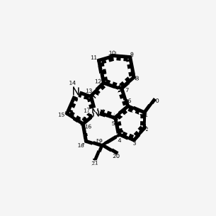 Cc1ccc2c3c1c1ccccc1c1ncc(n13)CC2(C)C